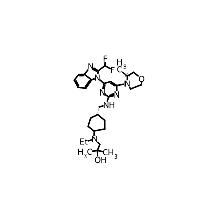 CCN(CC(C)(C)O)[C@H]1CC[C@H](CNc2nc(N3CCOC[C@@H]3C)cc(-n3c(C(F)F)nc4ccccc43)n2)CC1